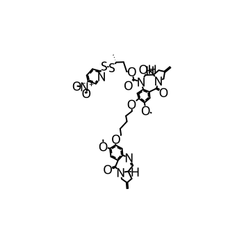 C=C1C[C@H]2C=Nc3cc(OCCCCCOc4cc5c(cc4OC)C(=O)N4CC(=C)C[C@H]4[C@H](O)N5C(=O)OCC[C@@H](C)SSc4ccc([N+](=O)[O-])cn4)c(OC)cc3C(=O)N2C1